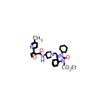 CCOC(=O)CN(C(=O)NC1CCCCC1)c1ccccc1CCN1CCC(NC(=O)c2occc2-c2ccc(C)cn2)CC1